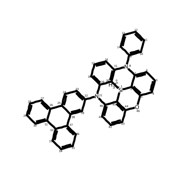 C[Si]12c3c4cccc3N(c3ccccc3)c3cccc(c31)N(c1ccc3c5ccccc5c5ccccc5c3c1)c1cccc(c12)O4